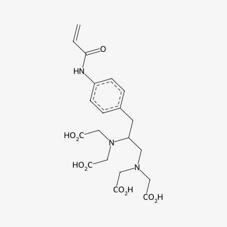 C=CC(=O)Nc1ccc(CC(CN(CC(=O)O)CC(=O)O)N(CC(=O)O)CC(=O)O)cc1